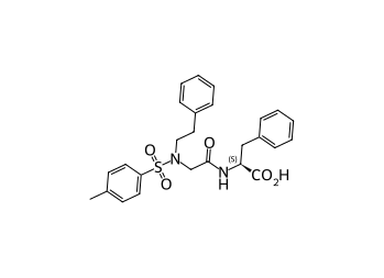 Cc1ccc(S(=O)(=O)N(CCc2ccccc2)CC(=O)N[C@@H](Cc2ccccc2)C(=O)O)cc1